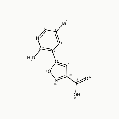 Nc1ncc(Br)cc1-c1cc(C(=O)O)no1